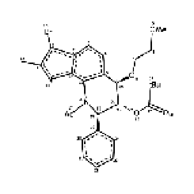 COCCO[C@@H]1c2ccn3c(Br)c(C)nc3c2N(C(C)=O)[C@H](c2ccccc2)[C@H]1OC(=O)C(C)(C)C